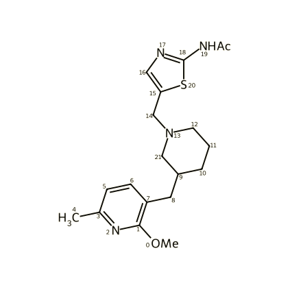 COc1nc(C)ccc1CC1CCCN(Cc2cnc(NC(C)=O)s2)C1